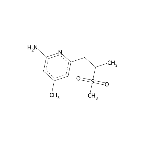 Cc1cc(N)nc(CC(C)S(C)(=O)=O)c1